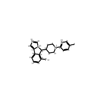 Cc1ccc(N2CCC(C3c4c(F)cccc4-c4cncn43)CC2)nc1